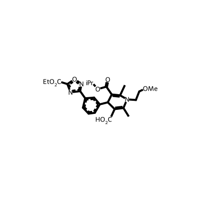 CCOC(=O)c1nc(-c2cccc(C3C(C(=O)O)=C(C)N(CCOC)C(C)=C3C(=O)OC(C)C)c2)no1